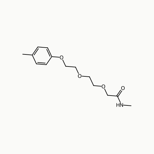 CNC(=O)COCCOCCOc1ccc(C)cc1